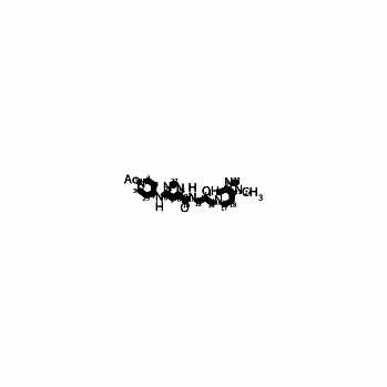 CC(=O)N1CCC(Nc2cc(C(=O)NC[C@H](O)CN3CCc4c(ncn4C)C3)ncn2)CC1